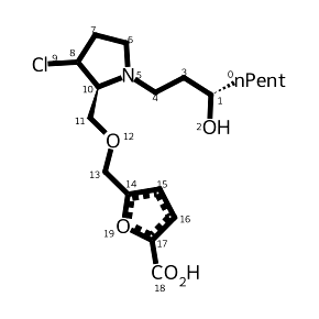 CCCCC[C@H](O)CCN1CCC(Cl)[C@@H]1COCc1ccc(C(=O)O)o1